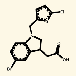 O=C(O)CC1CN(Cc2ccc(Cl)s2)c2ccc(Br)cc21